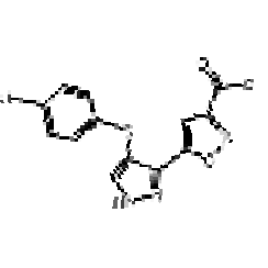 O=C(O)c1cc(-c2n[nH]cc2Sc2ccc(Cl)cc2)on1